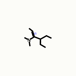 C/C=C(/C(CC)CC)N(C)C